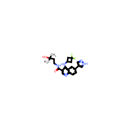 CC(C)(O)CCNC(=O)c1cnc2ccc(-c3cn[nH]c3)cc2c1NC1CC(F)(F)C1